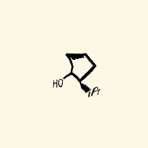 CC(C)C1CC=CC1O